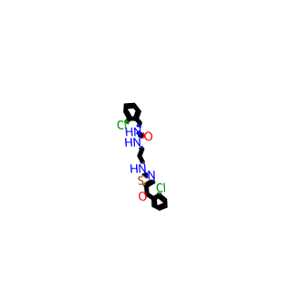 O=C(NCCCNc1ncc(C(=O)c2ccccc2Cl)s1)NCc1ccccc1Cl